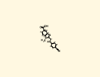 Cn1c(CNc2ccc(C#N)cc2)nc2cc(C(=O)O)ccc21